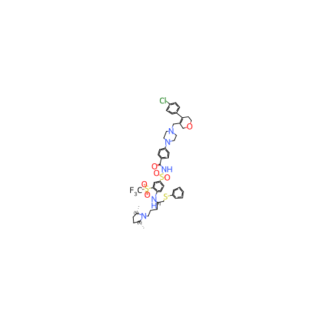 C[C@@H]1CC[C@H](C)N1CCC[C@H](CSc1ccccc1)Nc1ccc(S(=O)(=O)NC(=O)c2ccc(N3CCN(CC4=C(c5ccc(Cl)cc5)CCOC4)CC3)cc2)cc1S(=O)(=O)C(F)(F)F